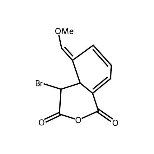 COC=C1C=CC=C2C(=O)OC(=O)C(Br)C12